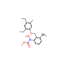 Bc1cccc(N(O)C(=O)OC)c1COc1cc(C)c(CC)cc1CC